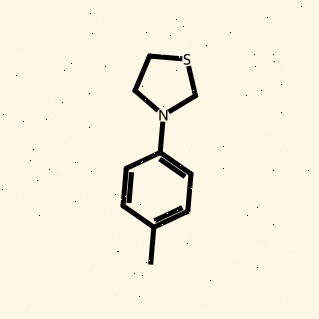 Cc1ccc(N2CCSC2)cc1